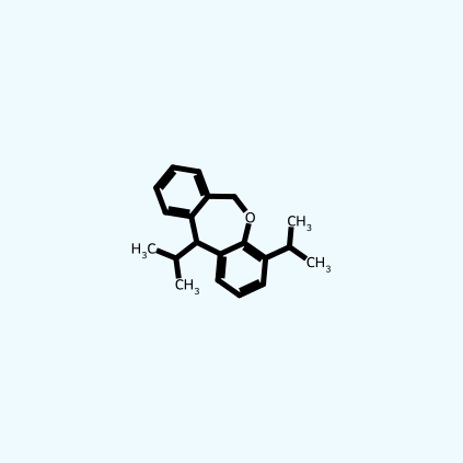 CC(C)c1cccc2c1OCc1ccccc1C2C(C)C